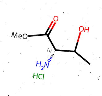 COC(=O)[C@@H](N)C(C)O.Cl